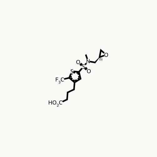 CN(C[C@H]1CO1)S(=O)(=O)c1cc(CCCC(=O)O)c(C(F)(F)F)s1